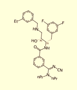 CCCN(CCC)C(=NC#N)c1cccc(C(=O)N[C@@H](Cc2cc(F)cc(F)c2)[C@H](O)CNCc2cccc(CC)c2)c1